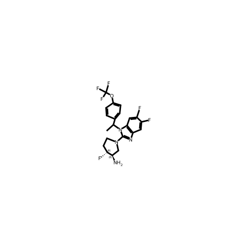 CC(c1ccc(OC(F)(F)F)cc1)n1c(N2CC[C@@H](F)[C@H](N)C2)nc2cc(F)c(F)cc21